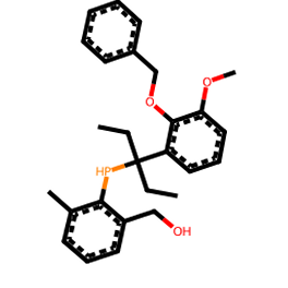 CCC(CC)(Pc1c(C)cccc1CO)c1cccc(OC)c1OCc1ccccc1